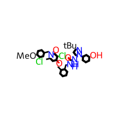 COc1ccc(Cn2c(C)cc(OCc3ccccc3CNC(=O)Nc3cc(C(C)(C)C)nn3-c3cccc(O)c3)c(Cl)c2=O)cc1Cl